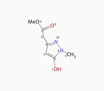 COC(=O)Cc1cc(O)n(C)n1